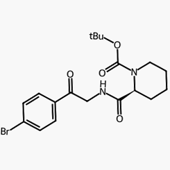 CC(C)(C)OC(=O)N1CCCC[C@H]1C(=O)NCC(=O)c1ccc(Br)cc1